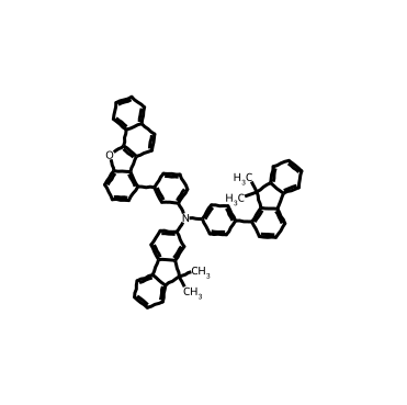 CC1(C)c2ccccc2-c2ccc(N(c3ccc(-c4cccc5c4C(C)(C)c4ccccc4-5)cc3)c3cccc(-c4cccc5oc6c7ccccc7ccc6c45)c3)cc21